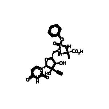 C#C[C@@]1(O)[C@H](O)[C@@H](COP(=O)(N[C@](C)(C(=O)O)C(C)C)Oc2ccccc2)O[C@H]1n1ccc(=O)[nH]c1=O